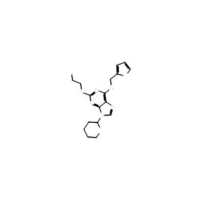 OCCNc1nc(NCc2ccco2)c2ncn(C3CCCCO3)c2n1